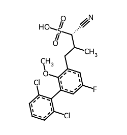 COc1c(CC(C)[C@@H](C#N)S(=O)(=O)O)cc(F)cc1-c1c(Cl)cccc1Cl